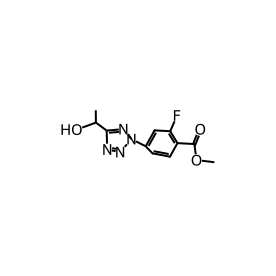 COC(=O)c1ccc(-n2nnc(C(C)O)n2)cc1F